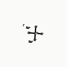 [I-].[Na+].[Na+].[O-][Cl+3]([O-])([O-])[O-]